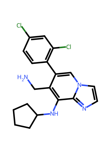 NCc1c(-c2ccc(Cl)cc2Cl)cn2ccnc2c1NC1CCCC1